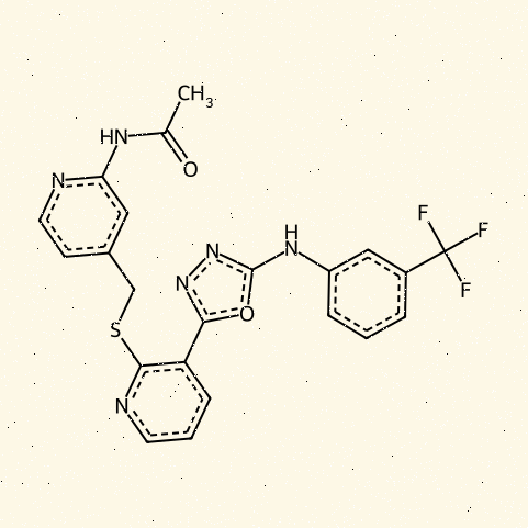 CC(=O)Nc1cc(CSc2ncccc2-c2nnc(Nc3cccc(C(F)(F)F)c3)o2)ccn1